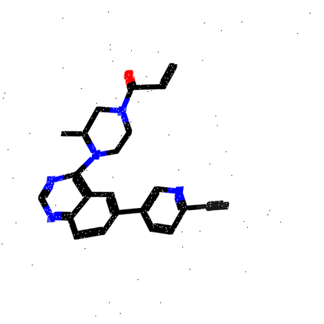 C=CC(=O)N1CCN(c2ncnc3ccc(-c4ccc(OC)nc4)cc23)C(C)C1